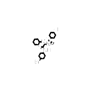 O=S(=O)(Nc1nc2ccccc2nc1Nc1ccc(Br)cc1)c1ccc(Cl)cc1